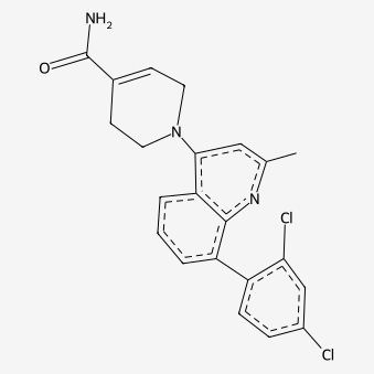 Cc1cc(N2CC=C(C(N)=O)CC2)c2cccc(-c3ccc(Cl)cc3Cl)c2n1